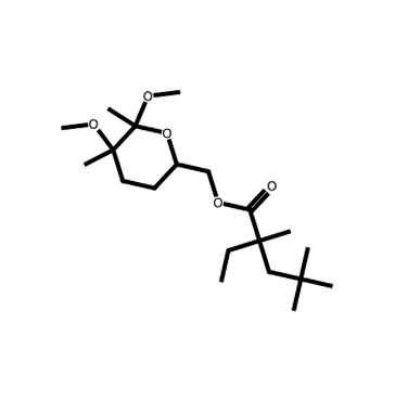 CCC(C)(CC(C)(C)C)C(=O)OCC1CCC(C)(OC)C(C)(OC)O1